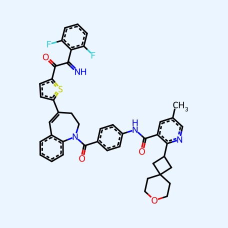 Cc1cnc(C2CC3(CCOCC3)C2)c(C(=O)Nc2ccc(C(=O)N3CCC(c4ccc(C(=O)C(=N)c5c(F)cccc5F)s4)=Cc4ccccc43)cc2)c1